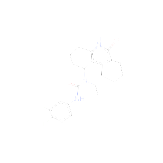 CCN(C(=O)Nc1ccc(F)c(F)c1)C1CCCc2[nH]c(=O)c3c(c21)CCCC3